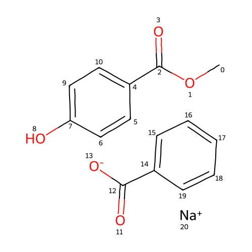 COC(=O)c1ccc(O)cc1.O=C([O-])c1ccccc1.[Na+]